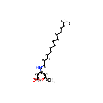 CCCCCCCCCCCCCCNc1cc(C)oc(=O)c1